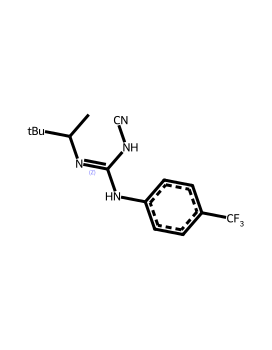 CC(/N=C(\NC#N)Nc1ccc(C(F)(F)F)cc1)C(C)(C)C